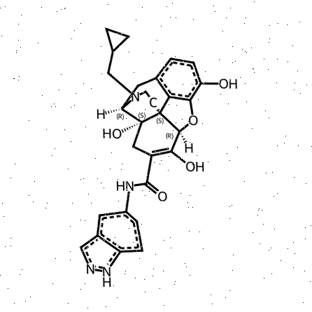 O=C(Nc1ccc2[nH]ncc2c1)C1=C(O)[C@@H]2Oc3c(O)ccc4c3[C@@]23CCN(CC2CC2)[C@H](C4)[C@]3(O)C1